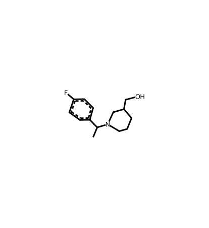 CC(c1ccc(F)cc1)N1CCCC(CO)C1